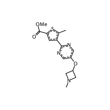 COC(=O)c1cc(-c2ncc(OC3CN(C)C3)cn2)c(C)s1